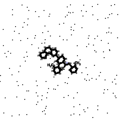 C/C(=N\c1ccccc1C)c1ccc(-c2ccc3ccc4cccnc4c3n2)cc1-c1ccccc1C